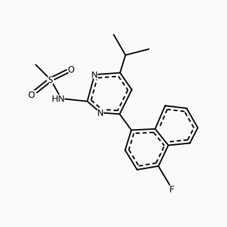 CC(C)c1cc(-c2ccc(F)c3ccccc23)nc(NS(C)(=O)=O)n1